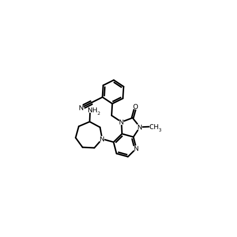 Cn1c(=O)n(Cc2ccccc2C#N)c2c(N3CCCCC(N)C3)ccnc21